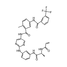 C=CC(=O)N[C@@H](C)C(=O)Nc1cccc(Nc2ncc(NC(=O)c3cc(NC(=O)c4cccc(C(F)(F)F)c4)ccc3C)cn2)c1